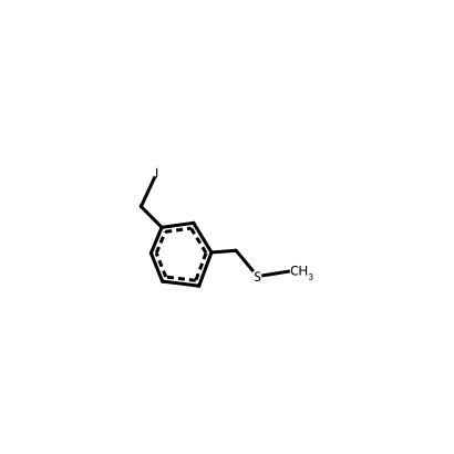 CSCc1cccc(CI)c1